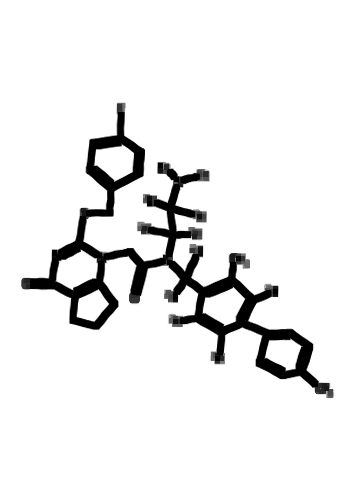 [2H]c1c([2H])c(C([2H])([2H])N(C(=O)Cn2c(SCc3ccc(F)cc3)nc(=O)c3c2CCC3)C([2H])([2H])C([2H])([2H])N(CC)CC)c(C)c([2H])c1-c1ccc(C(F)(F)F)cc1